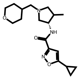 CC1CN(CC2CCOCC2)C[C@H]1NC(=O)c1cc(C2CC2)on1